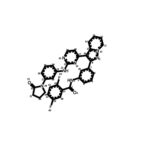 O=C(Nc1cccc(-c2nn3ccccc3c2-c2ccnc(Nc3cccc(N4CCCC4=O)c3)n2)c1)c1cc(F)ccc1F